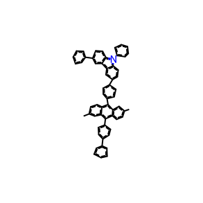 Cc1ccc2c(-c3ccc(-c4ccc5c(c4)c4cc(-c6ccccc6)ccc4n5-c4ccccc4)cc3)c3cc(C)ccc3c(-c3ccc(-c4ccccc4)cc3)c2c1